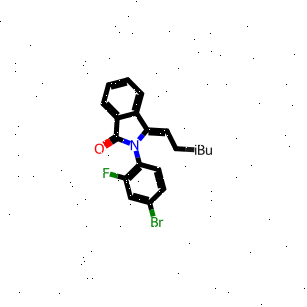 CCC(C)CC=C1c2ccccc2C(=O)N1c1ccc(Br)cc1F